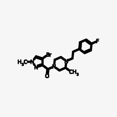 CC1CN(C(=O)c2nn(C)cc2Br)CCN1CCc1ccc(F)cc1